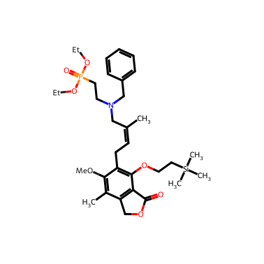 CCOP(=O)(CCN(CC(C)=CCc1c(OC)c(C)c2c(c1OCC[Si](C)(C)C)C(=O)OC2)Cc1ccccc1)OCC